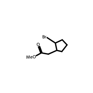 COC(=O)CC1CCCC1Br